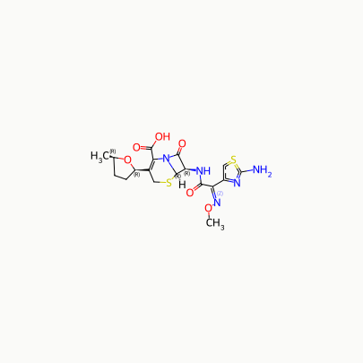 CO/N=C(\C(=O)N[C@@H]1C(=O)N2C(C(=O)O)=C([C@H]3CC[C@@H](C)O3)CS[C@H]12)c1csc(N)n1